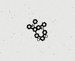 c1ccc(-n2c3ccccc3c3cc(-c4ccc5oc6ccc7oc8ccc(-n9c%10ccccc%10c%10ccccc%109)cc8c7c6c5c4)ccc32)cc1